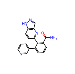 NC(=O)c1cccc(-c2cccnc2)c1-c1ccc2[nH]ncc2n1